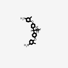 Cc1cc(N)ccc1Oc1ccc(C(F)(c2ccc(Oc3ccc(N)cc3C)cc2)C(F)(F)C(F)(F)F)cc1